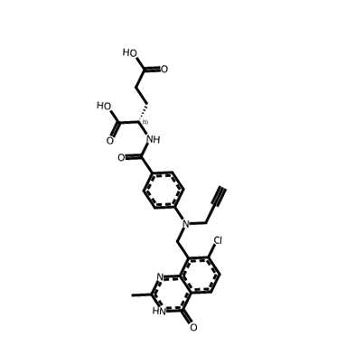 C#CCN(Cc1c(Cl)ccc2c(=O)[nH]c(C)nc12)c1ccc(C(=O)N[C@@H](CCC(=O)O)C(=O)O)cc1